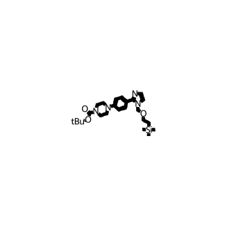 CC(C)(C)OC(=O)N1CCN(c2ccc(-c3nccn3COCC[Si](C)(C)C)cc2)CC1